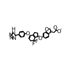 COC(=O)C[C@@H]1COc2cc(O[C@@H]3CCC4=C3C(F)(F)CC=C4Oc3ccc(-c4nnn[nH]4)cc3)ccc21